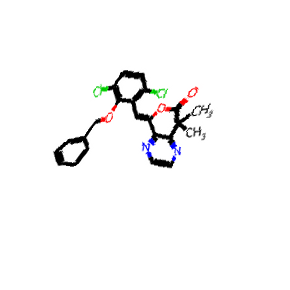 CC1(C)C(=O)OC(=Cc2c(Cl)ccc(Cl)c2OCc2ccccc2)c2nccnc21